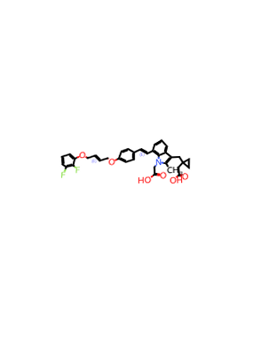 Cc1c(CC2(CC(=O)O)CC2)c2cccc(/C=C/c3ccc(OC/C=C/COc4cccc(F)c4F)cc3)c2n1CC(=O)O